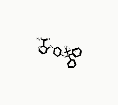 CC(C)(C)[Si](O[C@H]1CC[C@H](OC2=CC=COC2C(N)=O)CC1)(c1ccccc1)c1ccccc1